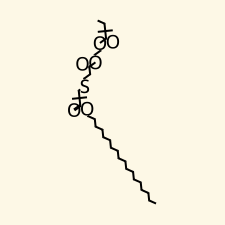 CCCCCCCCCCCCCCCCCCOC(=O)C(C)(C)CSCCC(=O)OCCOC(=O)C(C)(C)CC